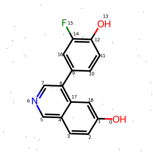 Oc1ccc2cncc(-c3ccc(O)c(F)c3)c2c1